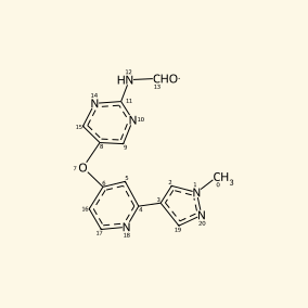 Cn1cc(-c2cc(Oc3cnc(N[C]=O)nc3)ccn2)cn1